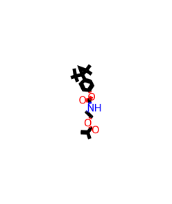 C=C(C)C(=O)OCCNC(=O)Oc1ccc(C2(C(C)(C)C)CC2(C)C)cc1